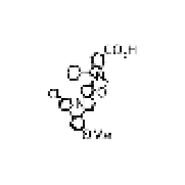 COc1ccc(-c2ccc(Cl)cc2)c(-c2ccc3c4c(ccc3n2)-c2c(C3CCCCC3)c3ccc(C(=O)O)cc3n2CCO4)c1